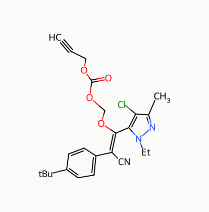 C#CCOC(=O)OCO/C(=C(/C#N)c1ccc(C(C)(C)C)cc1)c1c(Cl)c(C)nn1CC